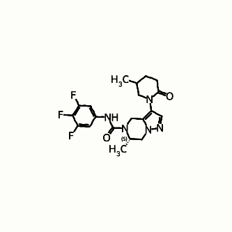 CC1CCC(=O)N(c2cnn3c2CN(C(=O)Nc2cc(F)c(F)c(F)c2)[C@@H](C)C3)C1